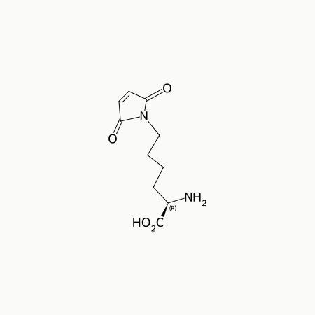 N[C@H](CCCCN1C(=O)C=CC1=O)C(=O)O